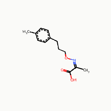 C/C(=N/OCCCc1ccc(C)cc1)C(=O)O